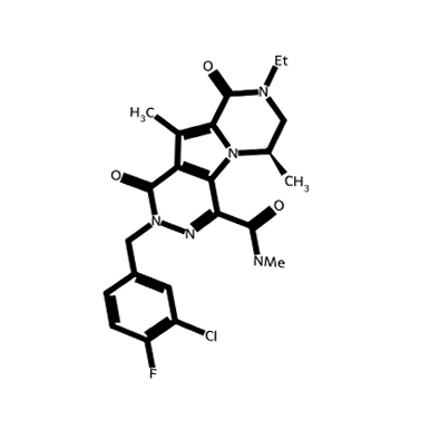 CCN1C[C@@H](C)n2c(c(C)c3c(=O)n(Cc4ccc(F)c(Cl)c4)nc(C(=O)NC)c32)C1=O